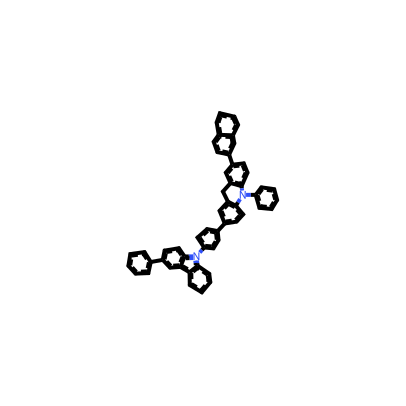 c1ccc(-c2ccc3c(c2)c2ccccc2n3-c2ccc(-c3ccc4c(c3)Cc3cc(-c5ccc6ccccc6c5)ccc3N4c3ccccc3)cc2)cc1